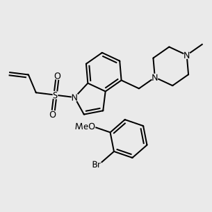 C=CCS(=O)(=O)n1ccc2c(CN3CCN(C)CC3)cccc21.COc1ccccc1Br